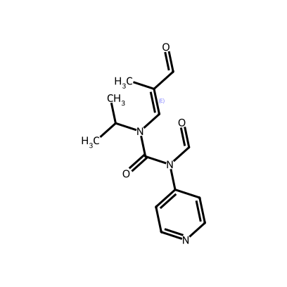 C/C(C=O)=C\N(C(=O)N(C=O)c1ccncc1)C(C)C